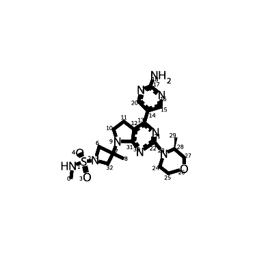 CNS(=O)(=O)N1CC(C)(N2CCc3c(-c4cnc(N)nc4)nc(N4CCOC[C@@H]4C)nc32)C1